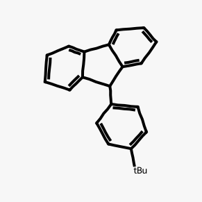 CC(C)(C)c1ccc(C2c3ccccc3-c3ccccc32)cc1